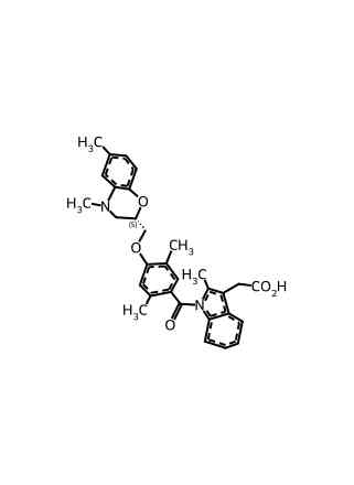 Cc1ccc2c(c1)N(C)C[C@@H](COc1cc(C)c(C(=O)n3c(C)c(CC(=O)O)c4ccccc43)cc1C)O2